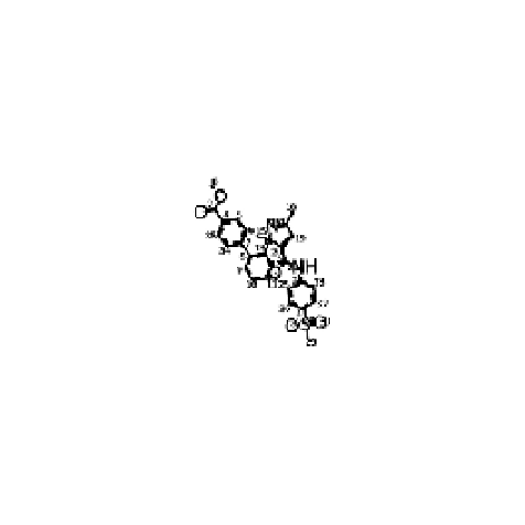 COC(=O)c1ccc(-c2ccccc2C2(C)N=C(C)C=C2C(=O)Nc2ccc(S(C)(=O)=O)cc2)cc1